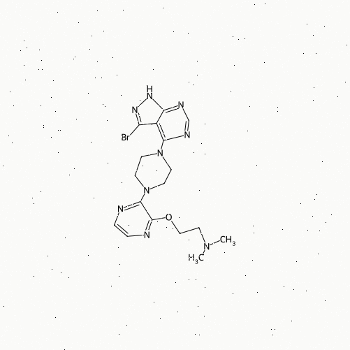 CN(C)CCOc1nccnc1N1CCN(c2ncnc3[nH]nc(Br)c23)CC1